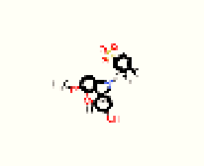 COc1ccc2c3c1O[C@H]1C[C@@H](O)C=C[C@@]31CCN(C)C2.Cc1ccc(S(=O)(=O)O)cc1